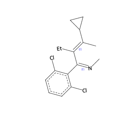 CCC(/C(=N\C)c1c(Cl)cccc1Cl)=C(/C)C1CC1